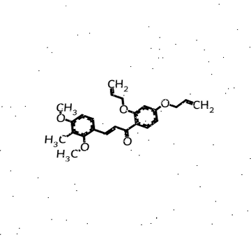 C=CCOc1ccc(C(=O)C=Cc2ccc(OC)c(C)c2OC)c(OCC=C)c1